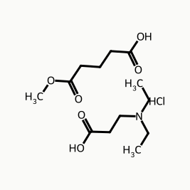 CCN(CC)CCC(=O)O.COC(=O)CCCC(=O)O.Cl